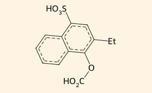 CCc1cc(S(=O)(=O)O)c2ccccc2c1OC(=O)O